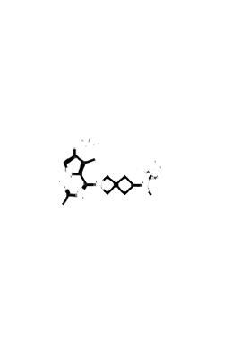 COc1cn2nc(C)nc(N3CC4(CC(N(C)S(N)(=O)=O)C4)C3)c2c1C